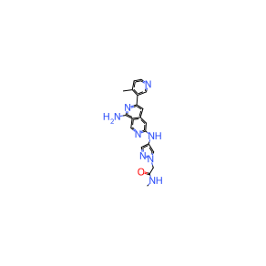 CNC(=O)Cn1cc(Nc2cc3cc(-c4cnccc4C)nc(N)c3cn2)cn1